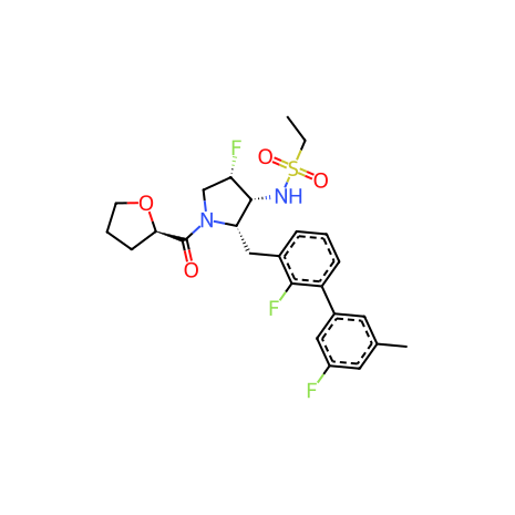 CCS(=O)(=O)N[C@H]1[C@@H](F)CN(C(=O)[C@H]2CCCO2)[C@H]1Cc1cccc(-c2cc(C)cc(F)c2)c1F